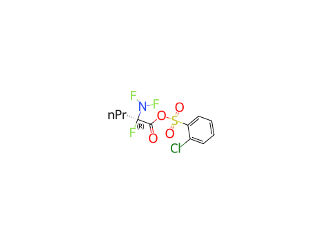 CCC[C@@](F)(C(=O)OS(=O)(=O)c1ccccc1Cl)N(F)F